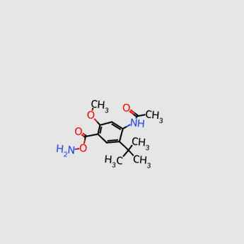 COc1cc(NC(C)=O)c(C(C)(C)C)cc1C(=O)ON